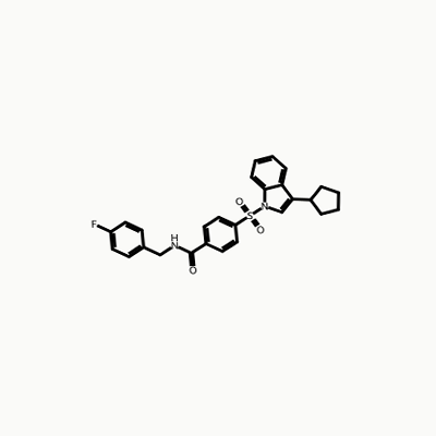 O=C(NCc1ccc(F)cc1)c1ccc(S(=O)(=O)n2cc(C3CCCC3)c3ccccc32)cc1